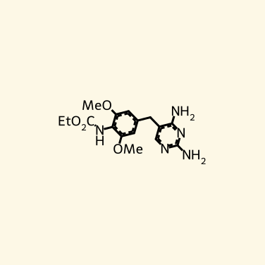 CCOC(=O)Nc1c(OC)cc(Cc2cnc(N)nc2N)cc1OC